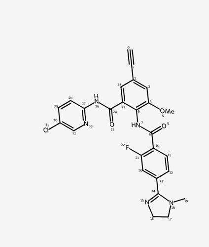 C#Cc1cc(OC)c(NC(=O)c2ccc(C3=NCCN3C)cc2F)c(C(=O)Nc2ccc(Cl)cn2)c1